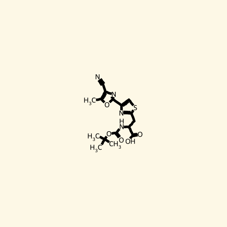 Cc1oc(-c2csc(CC(NC(=O)OC(C)(C)C)C(=O)O)n2)nc1C#N